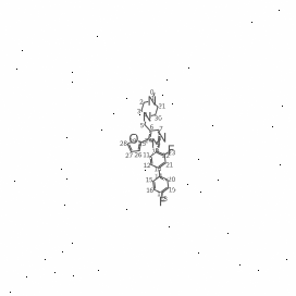 CN1CCN(Cc2cnn(-c3ccc(-c4ccc(F)cc4)cc3F)c2-c2ccco2)CC1